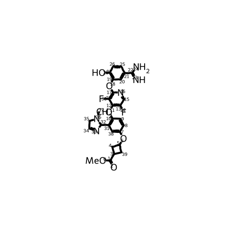 COC(=O)C1CC(Oc2ccc(Oc3c(F)cnc(Oc4cc(C(=N)N)ccc4O)c3F)c(C3N=CCN3C)c2)C1